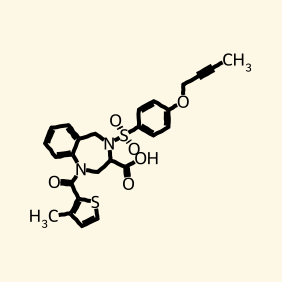 CC#CCOc1ccc(S(=O)(=O)N2Cc3ccccc3N(C(=O)c3sccc3C)CC2C(=O)O)cc1